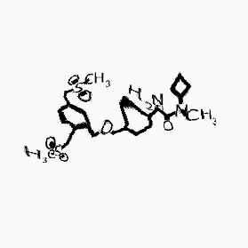 CN(C(=O)[C@@H](N)C1CCC(COCc2cc(CS(C)(=O)=O)ccc2CS(C)(=O)=O)CC1)C1CCC1